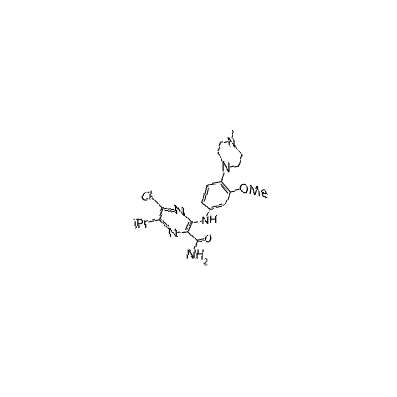 COc1cc(Nc2nc(Cl)c(C(C)C)nc2C(N)=O)ccc1N1CCN(C)CC1